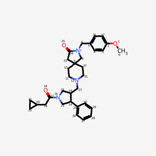 COc1ccc(CN2CC3(CCN(CC4CN(C(=O)CC5CC5)CC4c4ccccc4)CC3)CC2=O)cc1